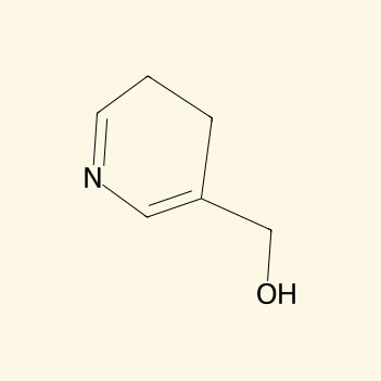 OCC1=CN=CCC1